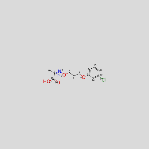 C/C(=N/OCCCOc1cccc(Cl)c1)C(=O)O